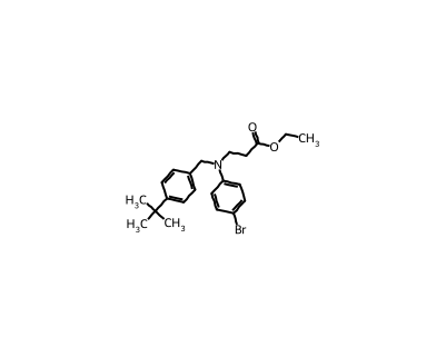 CCOC(=O)CCN(Cc1ccc(C(C)(C)C)cc1)c1ccc(Br)cc1